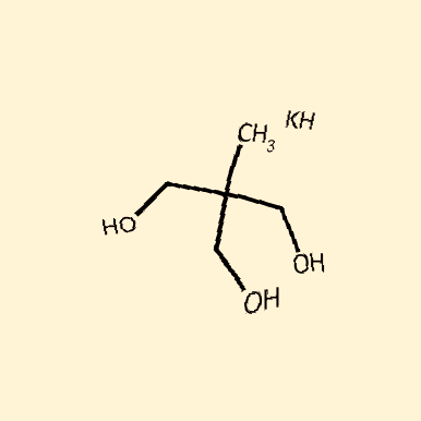 CC(CO)(CO)CO.[KH]